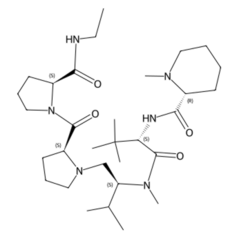 CCNC(=O)[C@@H]1CCCN1C(=O)[C@@H]1CCCN1C[C@H](C(C)C)N(C)C(=O)[C@@H](NC(=O)[C@H]1CCCCN1C)C(C)(C)C